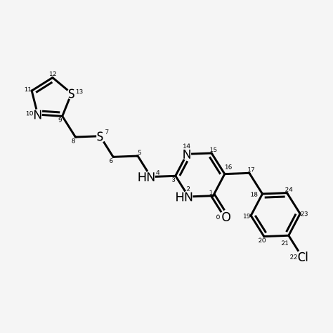 O=c1[nH]c(NCCSCc2nccs2)ncc1Cc1ccc(Cl)cc1